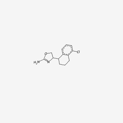 NC1=NC(C2CCCc3c(Cl)cccc32)CO1